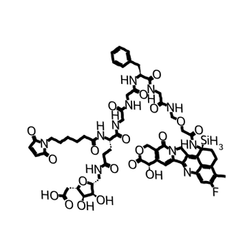 Cc1c(F)cc2nc3c(c4c2c1CC[C@@]4([SiH3])NC(=O)COCNC(=O)CNC(=O)[C@H](Cc1ccccc1)NC(=O)CNC(=O)CNC(=O)[C@H](CCC(=O)NC[C@H]1O[C@@H](CC(=O)O)[C@H](O)[C@@H]1O)NC(=O)CCCCCN1C(=O)C=CC1=O)Cn1c-3cc2c(c1=O)COC(=O)[C@H]2O